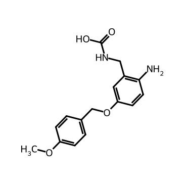 COc1ccc(COc2ccc(N)c(CNC(=O)O)c2)cc1